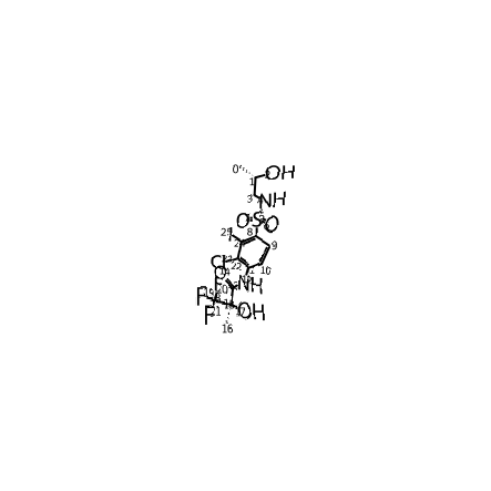 C[C@H](O)CNS(=O)(=O)c1ccc(NC(=O)[C@@](C)(O)C(F)(F)F)c(Cl)c1I